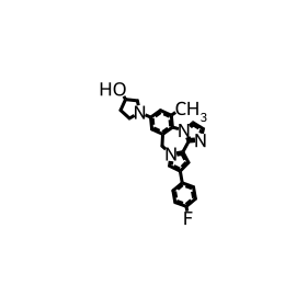 Cc1cc(N2CCC(O)C2)cc2c1-n1ccnc1-c1cc(-c3ccc(F)cc3)cn1C2